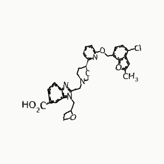 Cc1cc2c(Cl)ccc(COc3cccc(C4CCN(Cc5nc6ccc(C(=O)O)cc6n5CC5CCO5)CC4)n3)c2o1